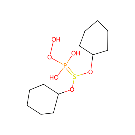 OOP(O)(O)=S(OC1CCCCC1)OC1CCCCC1